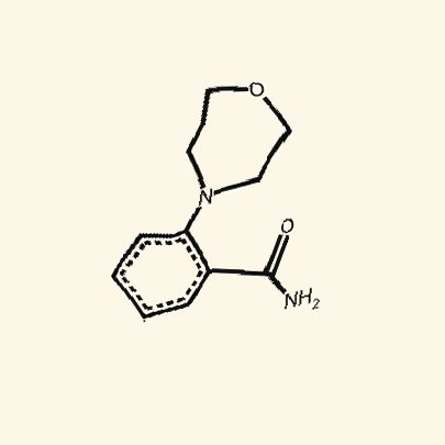 NC(=O)c1c[c]ccc1N1CCOCC1